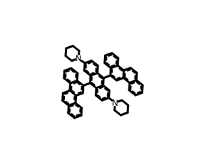 c1ccc2c(c1)ccc1c3ccccc3c(-c3c4ccc(N5CCCCC5)cc4c(-c4cc5c6ccccc6ccc5c5ccccc45)c4ccc(N5CCCCC5)cc34)cc21